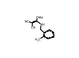 COC(NCc1ccccc1C)=C(C#N)C#N